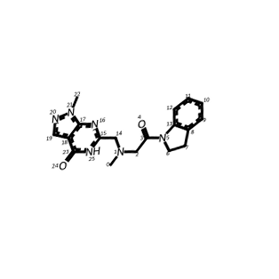 CN(CC(=O)N1CCc2ccccc21)Cc1nc2c(cnn2C)c(=O)[nH]1